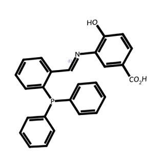 O=C(O)c1ccc(O)c(/N=C/c2ccccc2P(c2ccccc2)c2ccccc2)c1